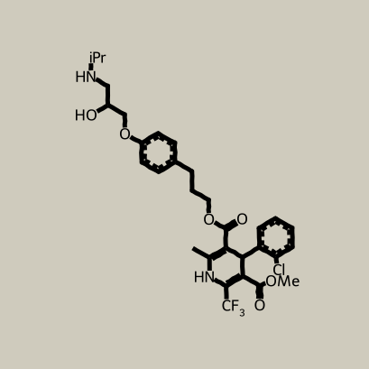 COC(=O)C1=C(C(F)(F)F)NC(C)=C(C(=O)OCCCc2ccc(OCC(O)CNC(C)C)cc2)C1c1ccccc1Cl